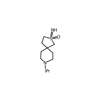 CC(C)N1CCC2(CC1)CCS(=N)(=O)C2